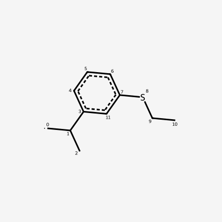 [CH2]C(C)c1cccc(SCC)c1